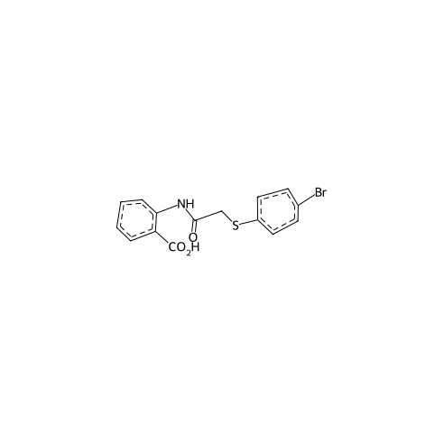 O=C(CSc1ccc(Br)cc1)Nc1ccccc1C(=O)O